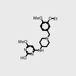 CCOc1cc(CN2CCC(Nc3cc(OC)nc(O)n3)CC2)ccc1OC